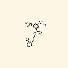 Nc1cc(N)cc(C(=O)OCCCN2CCCC2=O)c1